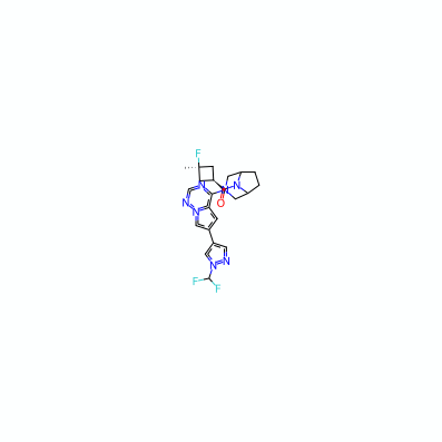 C[C@]1(F)C[C@@H](C(=O)N2C3CCC2CN(c2ncnn4cc(-c5cnn(C(F)F)c5)cc24)C3)C1